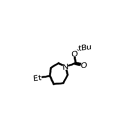 CCC1CCCN(C(=O)OC(C)(C)C)CC1